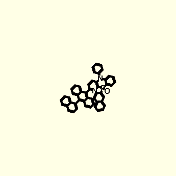 O=P1(c2ccc3ccccc3c2)c2ccccc2N(c2ccccc2)c2ccc(-c3c4ccccc4c(-c4cccc5ccccc45)c4ccccc34)nc21